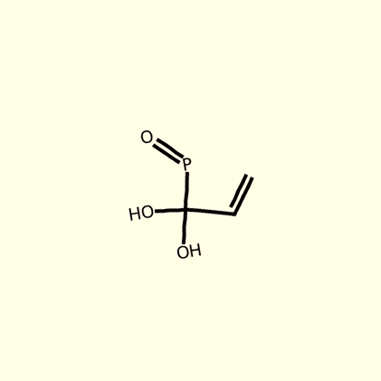 C=CC(O)(O)P=O